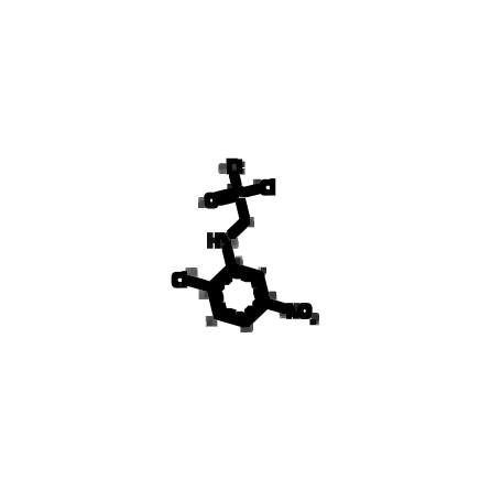 CCP(=O)(Cl)CNc1cc([N+](=O)[O-])ccc1Cl